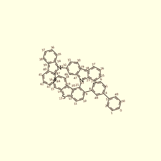 c1ccc(-c2cccc(-c3ccc4sc5ccccc5c4c3-n3c4ccccc4c4ccc(-n5c6ccccc6c6ccccc65)cc43)c2)cc1